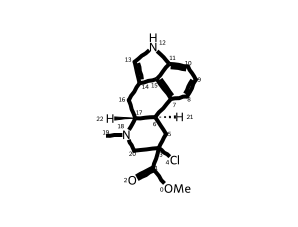 COC(=O)C1(Cl)C[C@@H]2c3cccc4[nH]cc(c34)C[C@H]2N(C)C1